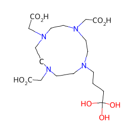 O=C(O)CN1CCN(CCCC(O)(O)O)CCN(CC(=O)O)CCN(CC(=O)O)CC1